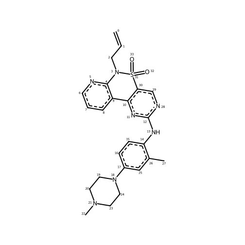 C=CCN1c2ncccc2-c2nc(Nc3ccc(N4CCN(C)CC4)cc3C)ncc2S1(=O)=O